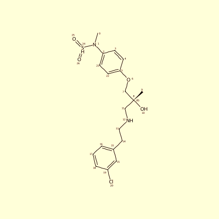 CN(c1ccc(OC[C@](C)(O)CNCCc2cccc(Cl)c2)cc1)[SH](=O)=O